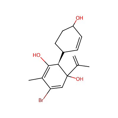 C=C(C)C1(O)C=C(Br)C(C)=C(O)[C@H]1C1C=CC(O)CC1